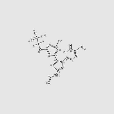 COC1=NC=C(n2nc(NC=O)cc2-c2cc(F)cc(OC(C)(C)C(F)(F)F)c2)CN1